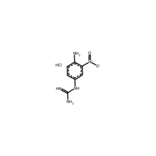 Cl.N=C(N)Nc1ccc(N)c([N+](=O)[O-])c1